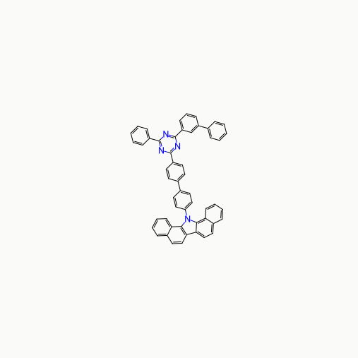 c1ccc(-c2cccc(-c3nc(-c4ccccc4)nc(-c4ccc(-c5ccc(-n6c7c8ccccc8ccc7c7ccc8ccccc8c76)cc5)cc4)n3)c2)cc1